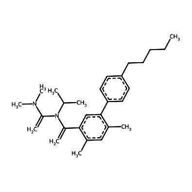 C=C(c1cc(-c2ccc(CCCCC)cc2)c(C)cc1C)N(C(=C)N(C)C)C(C)C